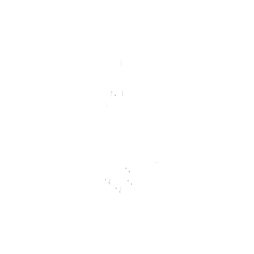 CCNC(=O)CCSCc1nnnn1CC